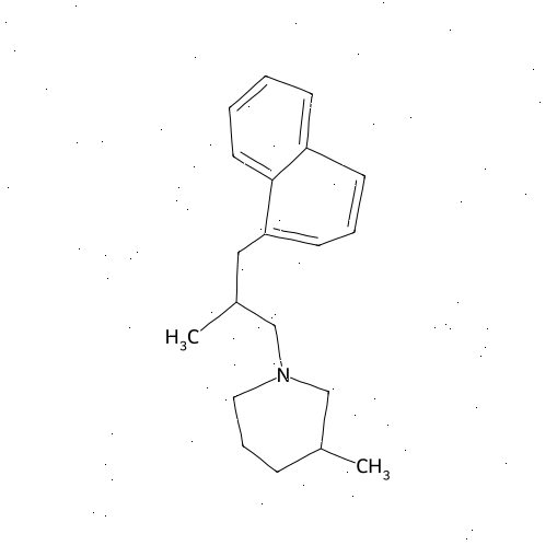 CC1CCCN(CC(C)Cc2cccc3ccccc23)C1